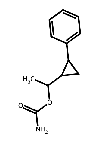 CC(OC(N)=O)C1CC1c1ccccc1